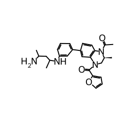 CC(=O)N1c2ccc(-c3cccc(NC(C)CC(C)N)c3)cc2N(C(=O)c2ccco2)C[C@@H]1C